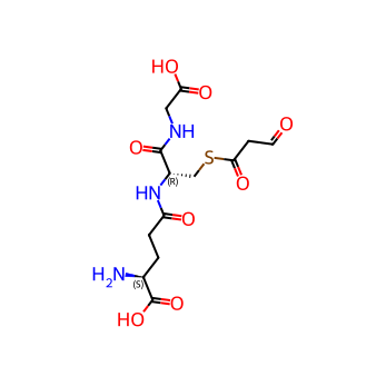 N[C@@H](CCC(=O)N[C@@H](CSC(=O)CC=O)C(=O)NCC(=O)O)C(=O)O